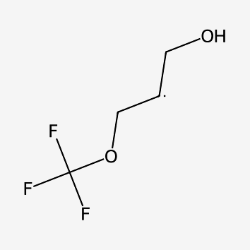 OC[CH]COC(F)(F)F